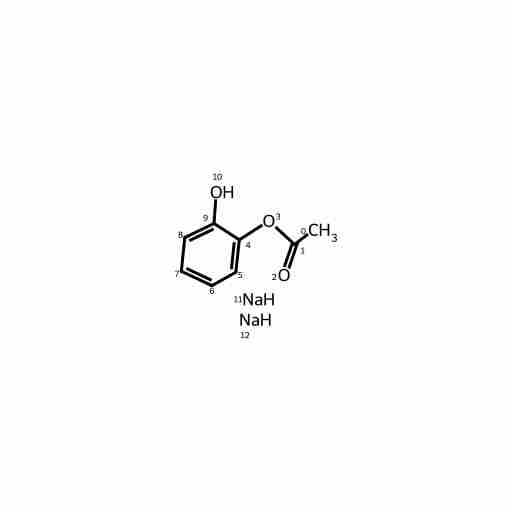 CC(=O)Oc1ccccc1O.[NaH].[NaH]